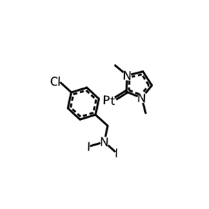 Clc1ccc(CN(I)I)cc1.Cn1ccn(C)[c]1=[Pt]